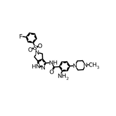 CN1CCN(c2ccc(C(=O)Nc3n[nH]c4c3CN(S(=O)(=O)c3cccc(F)c3)C4)c(N)c2)CC1